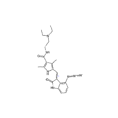 CCN(CC)CCNC(=O)c1c(C)[nH]c(/C=C2\C(=O)Nc3cccc(N=[N+]=[N-])c32)c1C